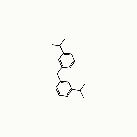 CC(C)c1cccc([CH]c2cccc(C(C)C)c2)c1